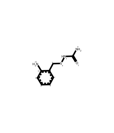 NC(=O)NSCc1ccccc1N